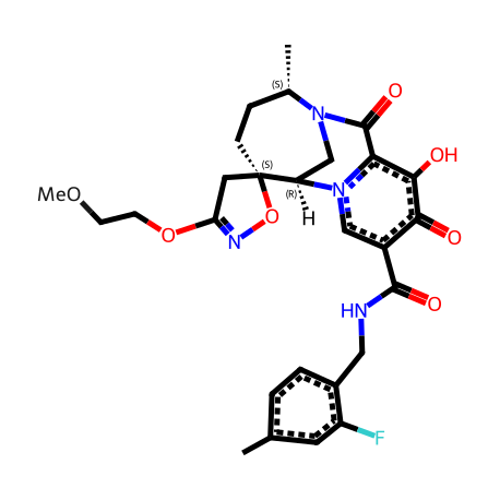 COCCOC1=NO[C@@]2(CC[C@H](C)N3C[C@H]2n2cc(C(=O)NCc4ccc(C)cc4F)c(=O)c(O)c2C3=O)C1